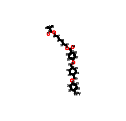 C=C(C)C(=O)OCCCCCCOC(=O)c1ccc(OCC2CCC(COc3ccc(CCC)cc3)CC2)cc1